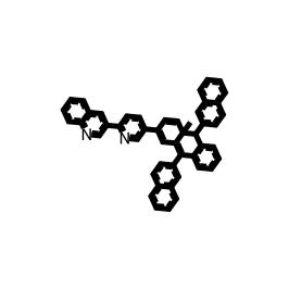 CC12C=CC(c3ccc(-c4cnc5ccccc5c4)nc3)=CC1=C(c1ccc3ccccc3c1)c1ccccc1C2c1ccc2ccccc2c1